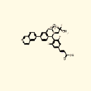 C[C@@H]1Cc2cc(-c3ccc4cnccc4c3)ccc2C(c2c(F)cc(/C=C/C(=O)O)cc2F)N1CC(C)(C)F